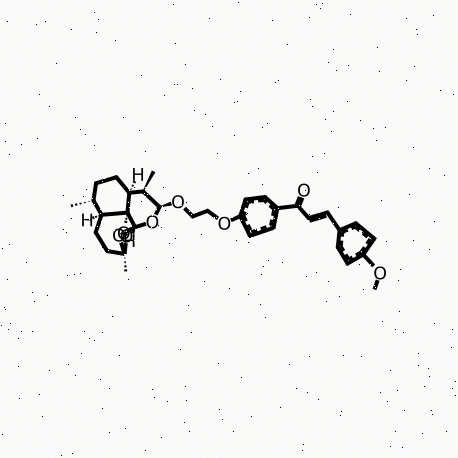 COc1ccc(/C=C/C(=O)c2ccc(OCCO[C@H]3O[C@@H]4O[C@]5(C)CC[C@H]6[C@H](C)CC[C@@H]([C@H]3C)[C@@]46OO5)cc2)cc1